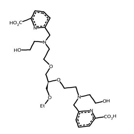 CCOC[C@@H](COCCN(CCO)Cc1cccc(C(=O)O)n1)OCCN(CCO)Cc1cccc(C(=O)O)n1